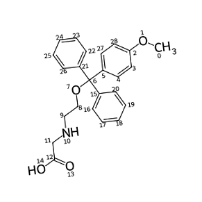 COc1ccc(C(OCCNCC(=O)O)(c2ccccc2)c2ccccc2)cc1